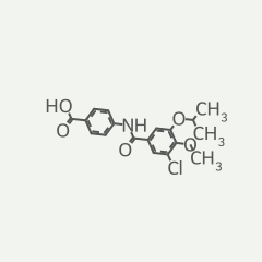 COc1c(Cl)cc(C(=O)Nc2ccc(C(=O)O)cc2)cc1OC(C)C